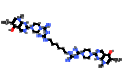 CCn1cc(C(=O)O)c(=O)c2cnc(N3CCN(C(=N)NC(=N)NCCCCCCNC(=N)NC(=N)N4CCN(c5ncc6c(=O)c(C(=O)O)cn(CC)c6n5)CC4)CC3)nc21